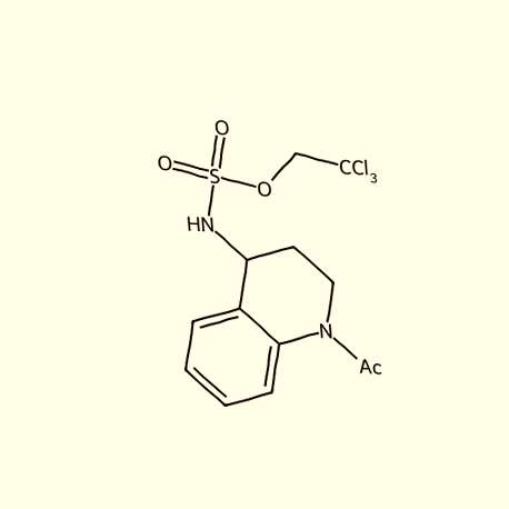 CC(=O)N1CCC(NS(=O)(=O)OCC(Cl)(Cl)Cl)c2ccccc21